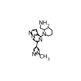 Cn1cc(-c2cn3nccc3c(N3CCCCC3CN)n2)cn1